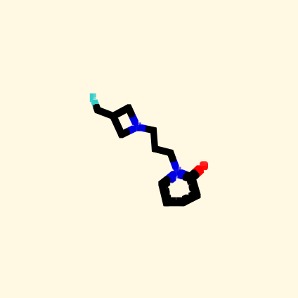 O=c1ccccn1CCCN1CC(CF)C1